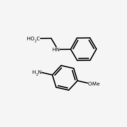 COc1ccc(N)cc1.O=C(O)CNc1ccccc1